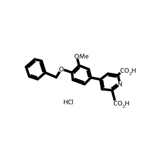 COc1cc(-c2cc(C(=O)O)nc(C(=O)O)c2)ccc1OCc1ccccc1.Cl